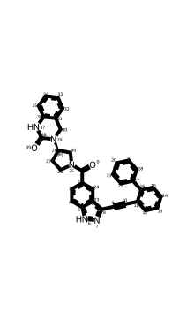 O=C(c1ccc2[nH]nc(C#Cc3ccccc3-c3ccccc3)c2c1)N1CC[C@@H](N2Cc3ccccc3NC2=O)C1